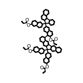 C=CC(=O)Oc1ccc2cc(C3(c4ccc5cc(OC(=O)C=C)ccc5c4)c4cc5ccccc5cc4-c4cc5c(-c6c(OC(=O)C=C)ccc7cc(C8(c9ccc%10cc(OC(=O)C=C)ccc%10c9)c9ccccc9-c9c8ccc8ccccc98)ccc67)cccc5cc43)ccc2c1